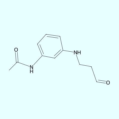 CC(=O)Nc1cccc(NCCC=O)c1